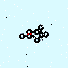 C1=Cc2c(c(-c3ccccc3)cc3c2oc2cccc(N(c4ccc(-c5ccccc5)cc4)c4ccccc4-c4ccccc4)c23)CC1